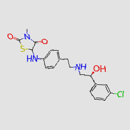 CN1C(=O)SC(Nc2ccc(CCNC[C@@H](O)c3cccc(Cl)c3)cc2)C1=O